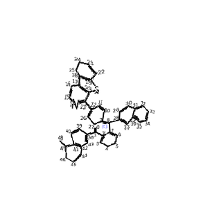 C=C(C1=CCCC=C1/C(=C1/C=CC(c2nccc3c4c(sc23)C=CCC4)=CC1)c1ccc2ccccc2c1)c1ccc2c(c1)C=CCC2C